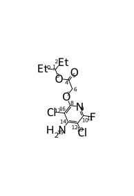 CCC(CC)OC(=O)COc1nc(F)c(Cl)c(N)c1Cl